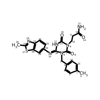 Cc1ccc(Cn2c(=O)n(CCC(N)=O)c(=O)[nH]/c2=N\c2ccc3nc(C)sc3c2)cc1